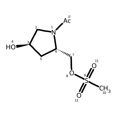 CC(=O)N1C[C@H](O)C[C@H]1COS(C)(=O)=O